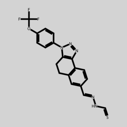 FC(F)(F)Oc1ccc(-n2nnc3c2CCc2cc(/C=N/NC=S)ccc2-3)cc1